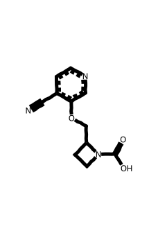 N#Cc1ccncc1OCC1CCN1C(=O)O